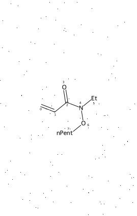 C=CC(=O)N(CC)OCCCCC